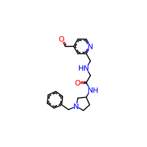 O=Cc1ccnc(CNCC(=O)NC2CCN(Cc3ccccc3)C2)c1